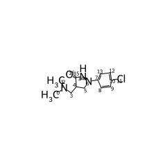 CN(C)CC1CN(c2ccc(Cl)cc2)NC1=O